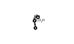 CCCCN(Cc1ccc(C#Cc2ccccc2)cc1)C1(F)C=CC=CC1C(=O)O